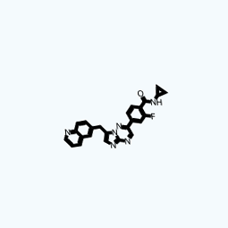 O=C(NC1CC1)c1ccc(-c2cnc3ncc(Cc4ccc5ncccc5c4)n3n2)cc1F